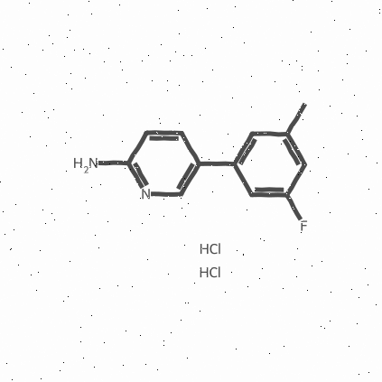 Cc1cc(F)cc(-c2ccc(N)nc2)c1.Cl.Cl